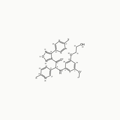 COc1cc(NC(C(=O)c2nonc2-c2ccc(C)cc2)c2ccc(C)nc2)cc(OCCO)c1